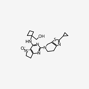 [O-][S@+]1CCc2nc(N3CCc4nc(C5CC5)sc4C3)nc(NC3(CO)CCC3)c21